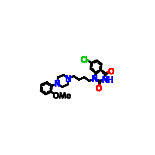 COc1ccccc1N1CCN(CCCCn2c(=O)[nH]c(=O)c3ccc(Cl)cc32)CC1